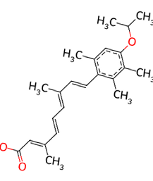 CC(C=Cc1c(C)cc(OC(C)C)c(C)c1C)=CC=CC(C)=CC(=O)O